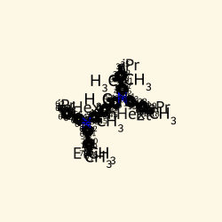 CCCCCCc1cc(-c2ccc(N(c3ccc(-c4ccc(C(C)(CC)CCC)cc4)cc3)c3ccc(-c4c(C)cc(CC(C)C)cc4C)cc3)cc2C)c(CCCCCC)cc1-c1ccc(N(c2ccc(-c3ccc(CC(C)C)cc3)cc2)c2ccc(-c3ccc(C(C)(C)CC)cc3)cc2)cc1C